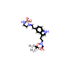 CC(C)(C)ON(C=O)CCc1c[nH]c2ccc(CCN3CCNS3(=O)=O)cc12